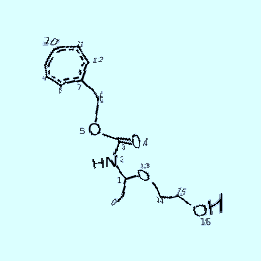 CC(NC(=O)OCc1ccccc1)OCCO